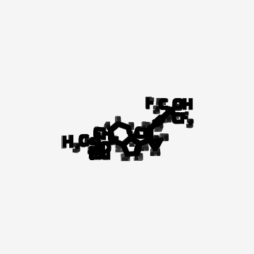 CC12CCCC(O[Si](C)(C)C(C)(C)C)C1CC=C2C1(CC#CC(O)(C(F)(F)F)C(F)(F)F)CC1